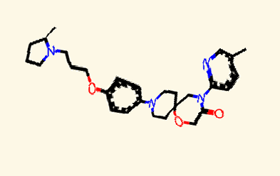 Cc1ccc(N2CC3(CCN(c4ccc(OCCCN5CCC[C@H]5C)cc4)CC3)OCC2=O)nc1